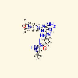 Cc1ccc(C(=O)Nc2cc(C(C)(C)C)n[nH]2)cc1Nc1ncnc2c(N)nc(N3CCC(N4C[C@@H](C)O[C@@H](C)C4)CC3)nc12